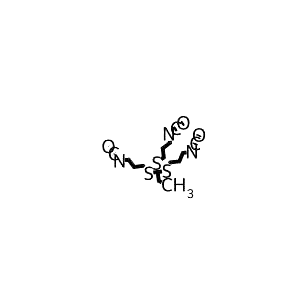 CCC(SCCCN=C=O)(SCCCN=C=O)SCCCN=C=O